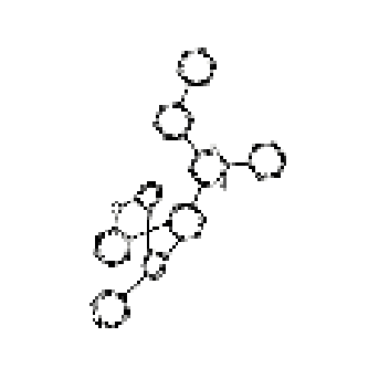 c1ccc(-c2cccc(-c3cc(-c4ccc5c(c4)C4(c6ccccc6Oc6ccccc64)c4cc(-c6ccncc6)ccc4-5)nc(-c4ccccc4)n3)c2)cc1